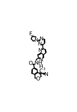 C[C@@]1(C#N)COCc2ccc(C(=O)NCc3cc4nc(-c5ccnc(N6CC[C@H](F)C6)n5)ccc4cn3)cc21